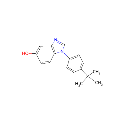 CC(C)(C)c1ccc(-n2cnc3cc(O)ccc32)cc1